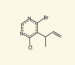 C=CC(C)c1c(Cl)ncnc1Br